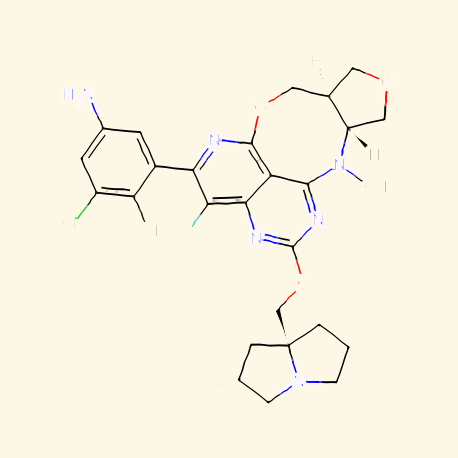 CN1c2nc(OC[C@@]34CCCN3C[C@H](F)C4)nc3c(F)c(-c4cc(N)cc(Cl)c4C(F)(F)F)nc(c23)OC[C@H]2COC[C@@H]21